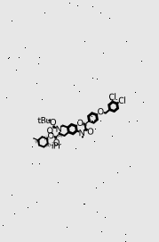 CC(C)[C@@H]1CC[C@@H](C)C[C@H]1OC(=O)[C@@H]1Cc2cc3c(cc2CN1C(=O)OC(C)(C)C)O[C@@H](c1ccc(OCc2ccc(Cl)c(Cl)c2)cc1)C(=O)N3C